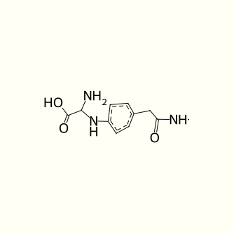 [NH]C(=O)Cc1ccc(NC(N)C(=O)O)cc1